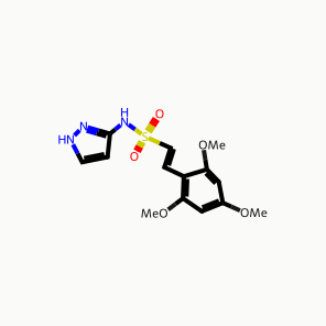 COc1cc(OC)c(C=CS(=O)(=O)Nc2cc[nH]n2)c(OC)c1